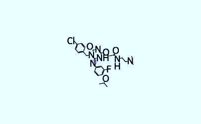 CC(C)Oc1ccc(/N=c2\[nH]c(OCC(=O)NCCN(C)C)nc(=O)n2Cc2ccc(Cl)cc2)cc1F